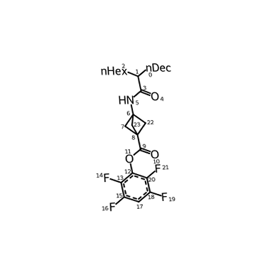 CCCCCCCCCCC(CCCCCC)C(=O)NC12CC(C(=O)Oc3c(F)c(F)cc(F)c3F)(C1)C2